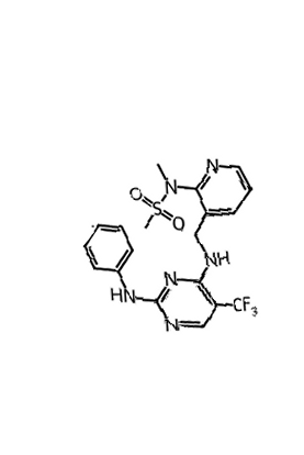 CN(c1ncccc1CNc1nc(Nc2cc[c]cc2)ncc1C(F)(F)F)S(C)(=O)=O